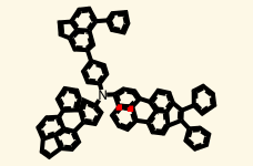 C1=Cc2cc(-c3ccc(N(c4ccc(-c5ccc6c7c(ccc(-c8ccccc8)c57)C=C6)cc4)c4ccc(-c5ccc6c7c(ccc(-c8ccccc8)c57)C(c5ccccc5)=C6c5ccccc5)cc4)cc3)cc3c(-c4ccccc4)ccc1c23